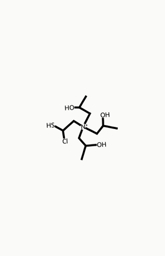 CC(O)C[N+](CC(C)O)(CC(C)O)CC(S)Cl